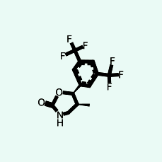 C[C@H]1CNC(=O)O[C@H]1c1cc(C(F)(F)F)cc(C(F)(F)F)c1